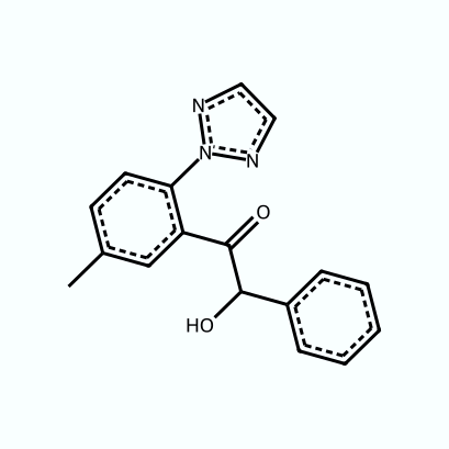 Cc1ccc(-n2nccn2)c(C(=O)C(O)c2ccccc2)c1